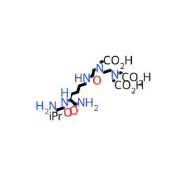 CC(C)[C@H](N)C(=O)N[C@@H](CCCCNC(=O)CN(CCN(CC(=O)O)CC(=O)O)CC(=O)O)C(N)=O